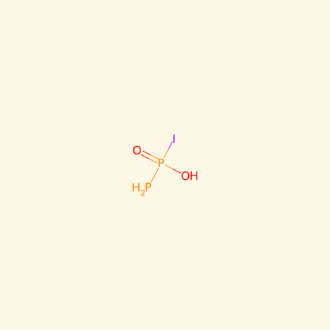 O=P(O)(P)I